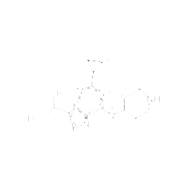 CC(C)c1cnc2c(NC3CCNCC3)nc(C3CC3)nn12